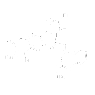 CCC(=O)NN(C(=O)CC(CC(=O)OC(C)(C)C)c1ccccc1)C(C(=O)NC(CC(=O)OC(C)(C)C)C(=O)CBr)C(C)C